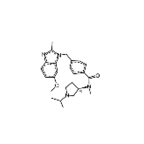 COc1ccc2nc(C)n(Cc3ccc(C(=O)N(C)[C@@H]4CCN(C(C)C)C4)cc3)c2c1